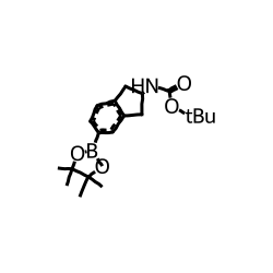 CC(C)(C)OC(=O)NC1Cc2ccc(B3OC(C)(C)C(C)(C)O3)cc2C1